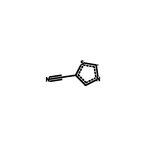 N#Cc1cn[c]s1